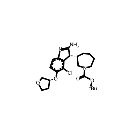 CC(C)(C)OC(=O)N1CCCC[C@@H](C2C(N)=Nc3ccc(O[C@@H]4CCOC4)c(Cl)c32)C1